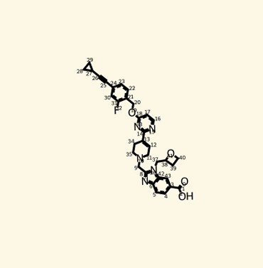 O=C(O)c1ccc2nc(CN3CC=C(c4nccc(OCc5ccc(C#CC6CC6)cc5F)n4)CC3)n(CC3CCO3)c2c1